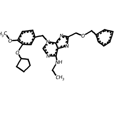 CCNc1ncn(Cc2ccc(OC)c(OC3CCCC3)c2)c2nc(COCc3ccccc3)nc1-2